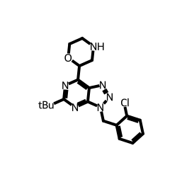 CC(C)(C)c1nc(C2CNCCO2)c2nnn(Cc3ccccc3Cl)c2n1